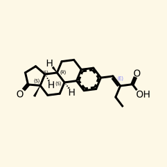 CC/C(=C\c1ccc2c(c1)CC[C@@H]1[C@@H]2CC[C@]2(C)C(=O)CC[C@@H]12)C(=O)O